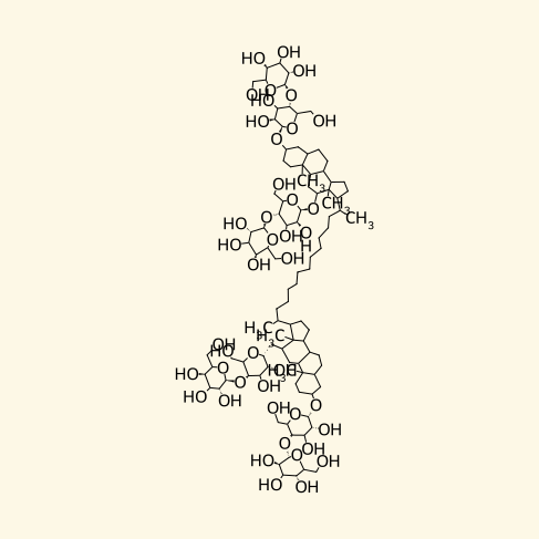 CC(CCCCCCCCCCCC(C)C1CCC2C3CCC4CC(O[C@@H]5OC(CO)[C@@H](O[C@H]6OC(CO)[C@@H](O)C(O)[C@@H]6O)C(O)[C@@H]5O)CCC4(C)C3CC(O[C@@H]3OC(CO)[C@@H](O[C@H]4OC(CO)[C@@H](O)C(O)[C@@H]4O)C(O)[C@@H]3O)C12C)C1CCC2C3CCC4CC(O[C@H]5OC(CO)[C@H](O[C@@H]6OC(CO)[C@H](O)C(O)[C@H]6O)C(O)[C@H]5O)CCC4(C)C3CC(C[C@H]3OC(CO)[C@H](O[C@@H]4OC(CO)[C@H](O)C(O)[C@H]4O)C(O)[C@H]3O)C12C